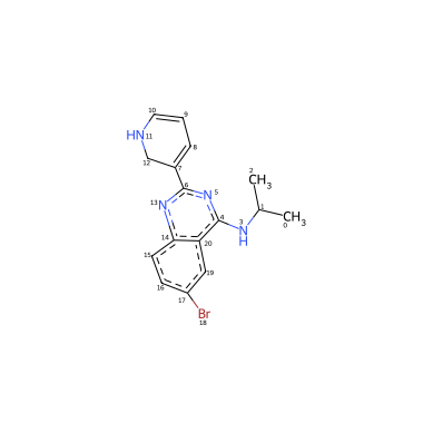 CC(C)Nc1nc(C2=CC=CNC2)nc2ccc(Br)cc12